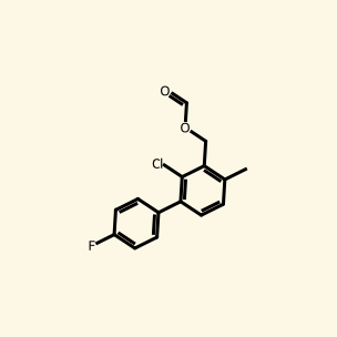 Cc1ccc(-c2ccc(F)cc2)c(Cl)c1COC=O